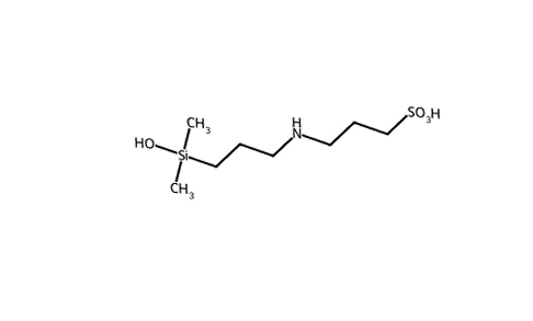 C[Si](C)(O)CCCNCCCS(=O)(=O)O